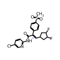 CS(=O)(=O)c1ccc(/C(=C\C2CC(F)C(F)C2)C(=O)Nc2ccc(Cl)cn2)cc1